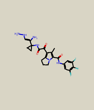 Cc1c(C(=O)C(=O)NC2(/C(N)=C/NN)CC2)c2n(c1C(=O)Nc1cc(F)c(F)c(F)c1)CCC2